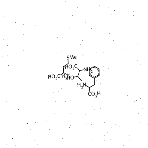 CC(O)C(N)C(=O)O.CSCCC(N)C(=O)O.NC(Cc1ccccc1)C(=O)O